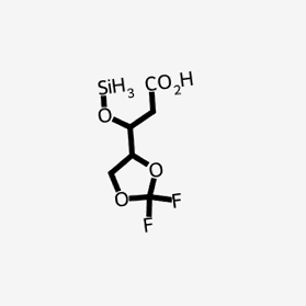 O=C(O)CC(O[SiH3])C1COC(F)(F)O1